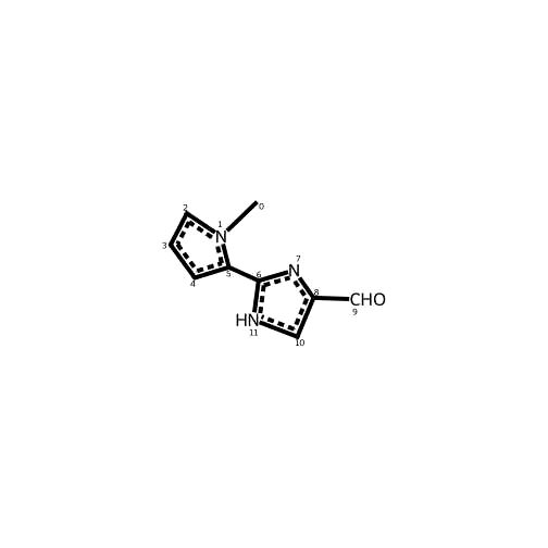 Cn1cccc1-c1nc(C=O)c[nH]1